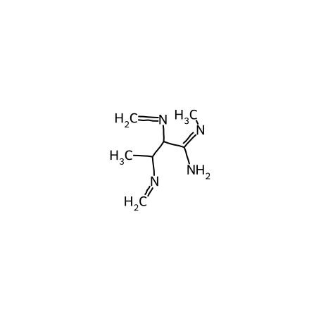 C=NC(C)C(N=C)/C(N)=N\C